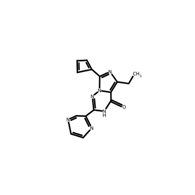 CCc1nc(C2=CC=C2)n2nc(-c3cnccn3)[nH]c(=O)c12